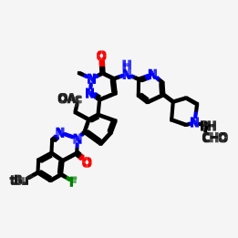 CC(=O)OCc1c(-c2cc(Nc3ccc(C4CCN(BC=O)CC4)cn3)c(=O)n(C)n2)cccc1-n1ncc2cc(C(C)(C)C)cc(F)c2c1=O